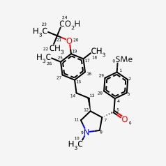 CSc1ccc(C(=O)[C@@H]2CN(C)C[C@H]2CCc2cc(C)c(OC(C)(C)C(=O)O)c(C)c2)cc1